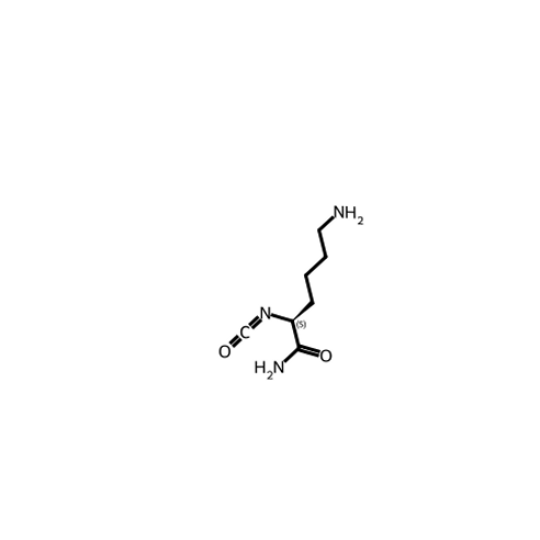 NCCCC[C@H](N=C=O)C(N)=O